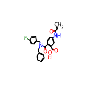 C=CC(=O)Nc1ccc(C(=O)N(Cc2ccccc2)Cc2ccc(F)cc2)c(C(=O)O)c1